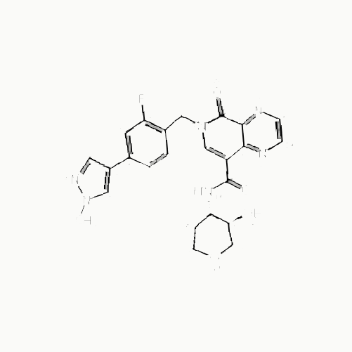 Cn1cc(-c2ccc(Cn3cc(C(=O)N[C@H]4CCOC[C@@H]4O)c4nccnc4c3=O)c(F)c2)cn1